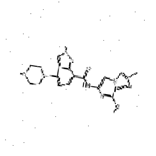 COc1nc(NC(=O)c2ccc(N3CCNCC3)c3cn(C)nc23)cn2cc(C)nc12